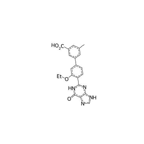 CCOc1cc(-c2cc(C)cc(C(=O)O)c2)ccc1-c1nc2[nH]cnc2c(=O)[nH]1